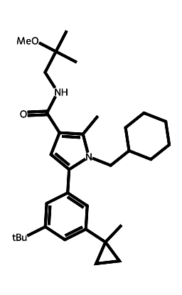 COC(C)(C)CNC(=O)c1cc(-c2cc(C(C)(C)C)cc(C3(C)CC3)c2)n(CC2CCCCC2)c1C